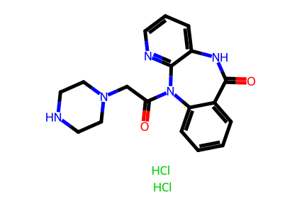 Cl.Cl.O=C1Nc2cccnc2N(C(=O)CN2CCNCC2)c2ccccc21